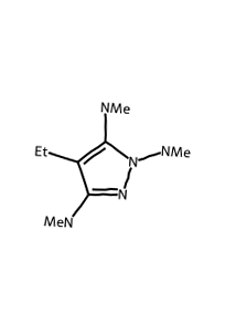 [CH2]Cc1c(NC)nn(NC)c1NC